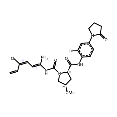 C=C/C(Cl)=C\C=C(/N)NC(=O)N1C[C@H](OC)C[C@@H]1C(=O)Nc1ccc(N2CCCC2=O)cc1F